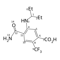 CCC(CC)Nc1cc(C(=O)O)c(C(F)(F)F)cc1C(N)=O